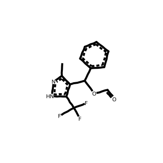 Cc1n[nH]c(C(F)(F)F)c1C(OC=O)c1ccccc1